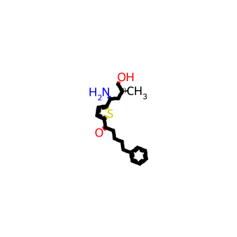 C[C@@H](CO)CC(N)c1ccc(C(=O)CCCCc2ccccc2)s1